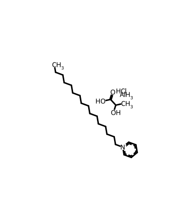 CC(O)C(=O)O.CCCCCCCCCCCCCCCC[n+]1ccccc1.Cl.[AlH3]